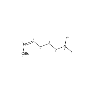 CC(C)CO/N=C\CCCN(C)C